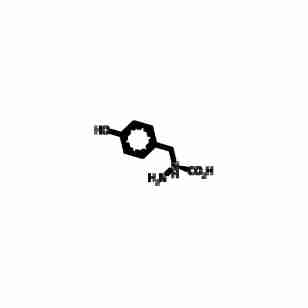 N[Si@@H](Cc1ccc(O)cc1)C(=O)O